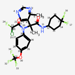 Cc1ncncc1C(C)(C(=O)NC1CCC(F)(F)CC1)N(C(=O)[C@H](F)Cl)c1ccc(OC(F)(F)F)cc1